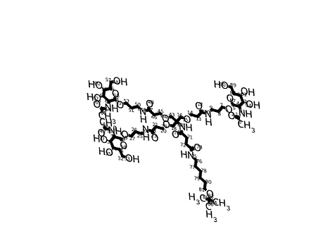 CC(=O)NC1[C@H](OCCCNC(=O)CCOCC(COCCC(=O)NCCCO[C@@H]2OC(CO)[C@H](O)[C@H](O)C2NC(C)=O)(COCCC(=O)NCCCO[C@@H]2OC(CO)[C@H](O)[C@H](O)C2NC(C)=O)NC(=O)CCC(=O)NCCCCCCOC(C)(C)C)OC(CO)[C@H](O)[C@@H]1O